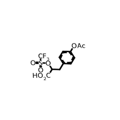 CC(=O)Oc1ccc(CC(OS(=O)(=O)C(F)(F)F)C(=O)O)cc1